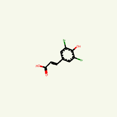 O=C(O)/C=C/c1cc(Br)c(O)c(Br)c1